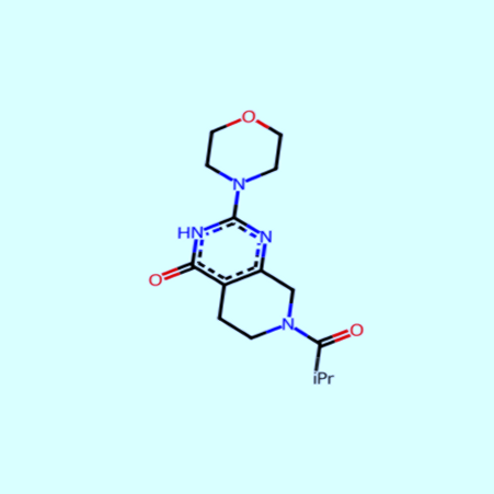 CC(C)C(=O)N1CCc2c(nc(N3CCOCC3)[nH]c2=O)C1